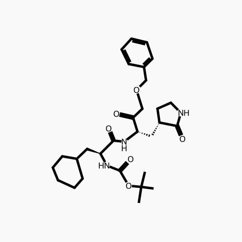 CC(C)(C)OC(=O)N[C@@H](CC1CCCCC1)C(=O)N[C@@H](C[C@@H]1CCNC1=O)C(=O)COCc1ccccc1